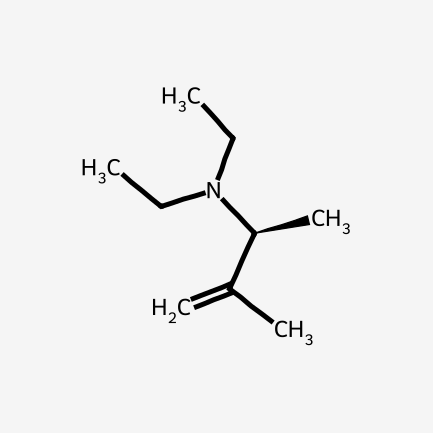 C=C(C)[C@H](C)N(CC)CC